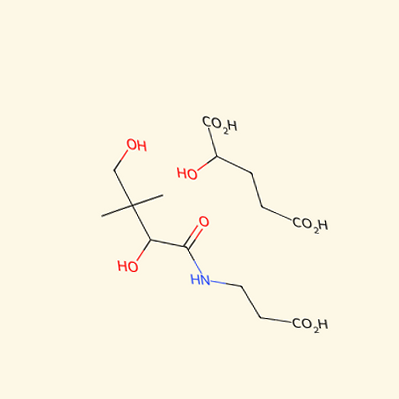 CC(C)(CO)C(O)C(=O)NCCC(=O)O.O=C(O)CCC(O)C(=O)O